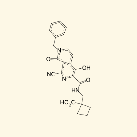 N#Cc1nc(C(=O)NCC2(C(=O)O)CCC2)c(O)c2ccn(Cc3ccccc3)c(=O)c12